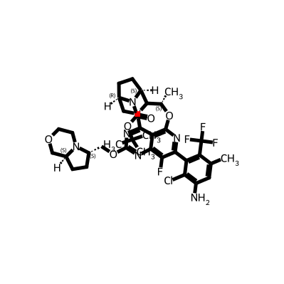 Cc1cc(N)c(Cl)c(-c2nc3c4c(nc(OC[C@@H]5CC[C@H]6COCCN65)nc4c2F)N2C[C@H]4CC[C@@H](C2[C@H](C)O3)N4C(=O)OC(C)(C)C)c1C(F)(F)F